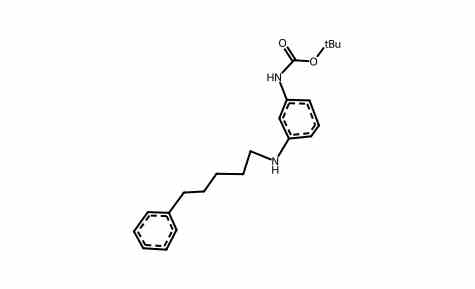 CC(C)(C)OC(=O)Nc1cccc(NCCCCCc2ccccc2)c1